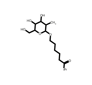 CC(C)C(=O)CCCCCOC1OC(CO)C(O)C(O)C1C